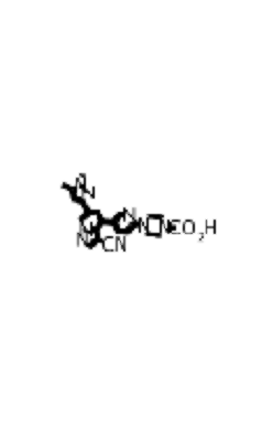 Cc1cc(-c2cc(-c3ccc(N4CCN(C(=O)O)CC4)nc3)c3c(C#N)cnn3c2)nn1C